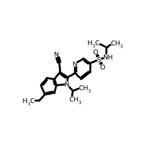 CCc1ccc2c(C#N)c(-c3ccc(S(=O)(=O)NC(C)C)cn3)n(C(C)C)c2c1